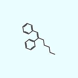 CCCCCC(=Cc1ccccc1)c1ccccc1